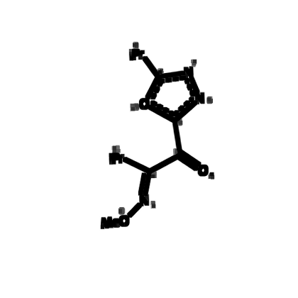 CO/N=C(/C(=O)c1nnc(C(C)C)o1)C(C)C